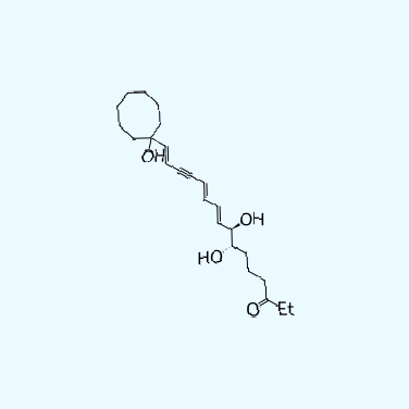 CCC(=O)CCC[C@H](O)[C@H](O)/C=C/C=C/C#C/C=C/C1(O)CCCCCCC1